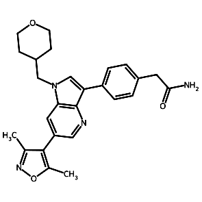 Cc1noc(C)c1-c1cnc2c(-c3ccc(CC(N)=O)cc3)cn(CC3CCOCC3)c2c1